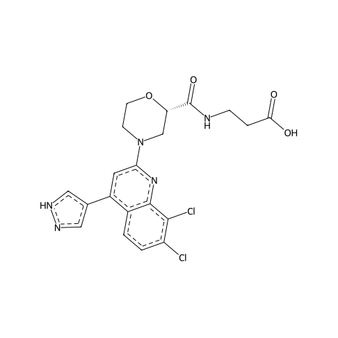 O=C(O)CCNC(=O)[C@@H]1CN(c2cc(-c3cn[nH]c3)c3ccc(Cl)c(Cl)c3n2)CCO1